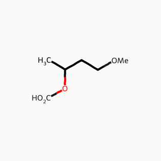 COCCC(C)OC(=O)O